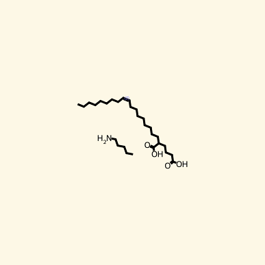 CCCCCCCC/C=C\CCCCCCCCC(CCCC(=O)O)C(=O)O.CCCCCN